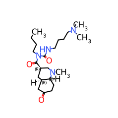 CCCCN(C(=O)NCCCCN(C)C)C(=O)[C@@H]1C[C@@H]2CC(=O)CC[C@H]2N(C)C1